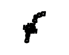 O=C(NCc1ccc(Oc2ccc(Cl)cc2)cc1)[C@H](O)[C@@H](O)C(=O)N1CCN(c2ccccc2)CC1